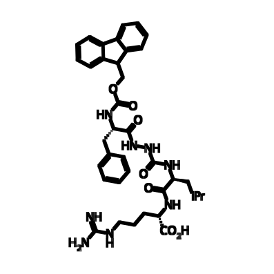 CC(C)C[C@H](NC(=O)NNC(=O)[C@H](Cc1ccccc1)NC(=O)OCC1c2ccccc2-c2ccccc21)C(=O)N[C@@H](CCCNC(=N)N)C(=O)O